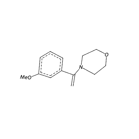 C=C(c1cccc(OC)c1)N1CCOCC1